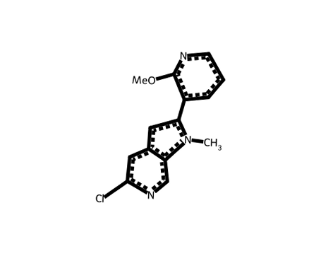 COc1ncccc1-c1cc2cc(Cl)ncc2n1C